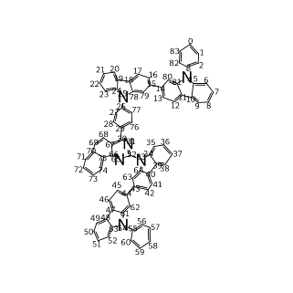 c1ccc(-n2c3ccccc3c3ccc(-c4ccc5c6ccccc6n(-c6ccc(-c7nc(-n8c9ccccc9c9ccc(-c%10ccc%11c%12ccccc%12n(-c%12ccccc%12)c%11c%10)cc98)nc8c7ccc7ccccc78)cc6)c5c4)cc32)cc1